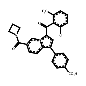 O=C(O)c1ccc(-c2cc(C(=O)c3c(Cl)cccc3C(F)(F)F)n3cc(C(=O)N4CCC4)ccc23)cc1